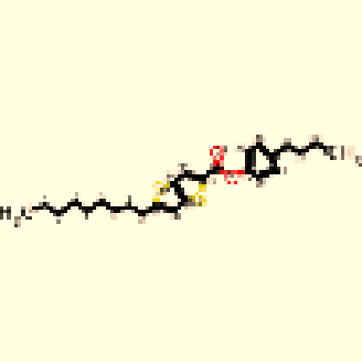 CCCCCCCCCc1cc2sc(C(=O)Oc3ccc(CCCC)cc3)cc2s1